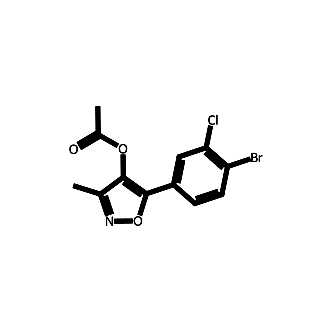 CC(=O)Oc1c(C)noc1-c1ccc(Br)c(Cl)c1